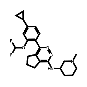 CN1CCC[C@@H](Nc2nnc(-c3ccc(C4CC4)cc3OC(F)F)c3c2CCC3)C1